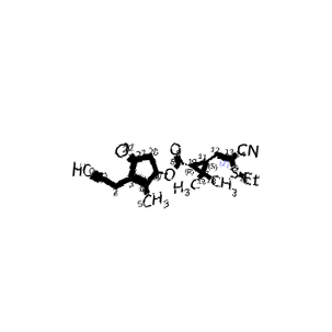 C#CCC1=C(C)[C@@H](OC(=O)[C@@H]2[C@@H](/C=C(/C#N)SCC)C2(C)C)CC1=O